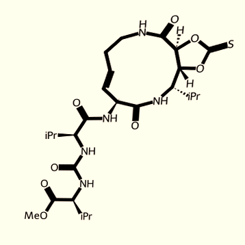 COC(=O)[C@@H](NC(=O)N[C@H](C(=O)N[C@H]1/C=C/CCNC(=O)[C@H]2OC(=S)O[C@@H]2[C@H](C(C)C)NC1=O)C(C)C)C(C)C